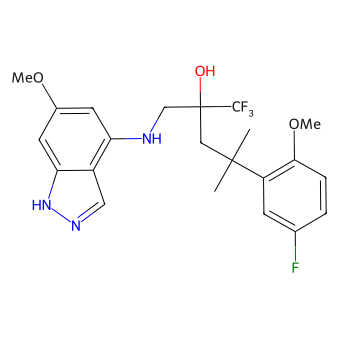 COc1cc(NCC(O)(CC(C)(C)c2cc(F)ccc2OC)C(F)(F)F)c2cn[nH]c2c1